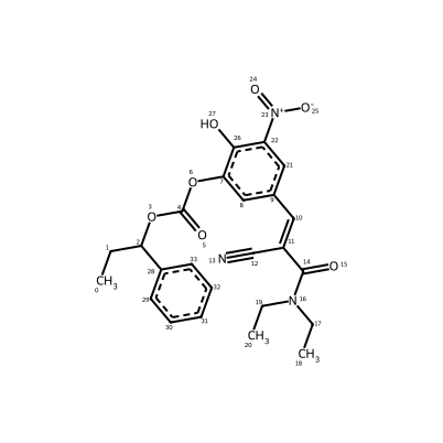 CCC(OC(=O)Oc1cc(/C=C(\C#N)C(=O)N(CC)CC)cc([N+](=O)[O-])c1O)c1ccccc1